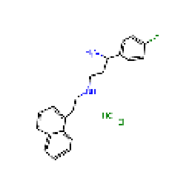 Cl.Cl.NC(CCNCCc1cccc2ccccc12)c1ccc(F)cc1